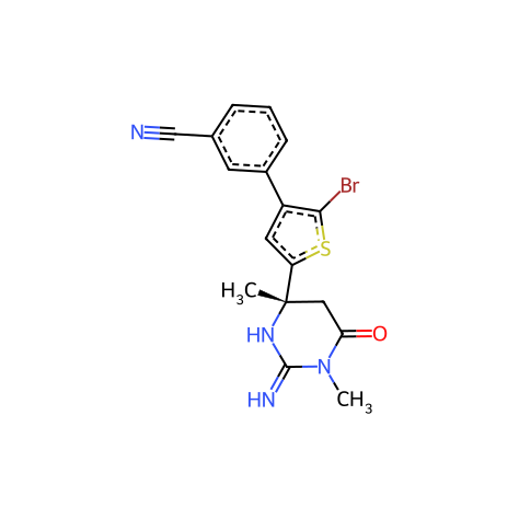 CN1C(=N)N[C@](C)(c2cc(-c3cccc(C#N)c3)c(Br)s2)CC1=O